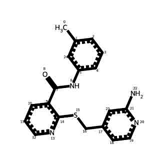 Cc1cccc(NC(=O)c2cccnc2SCc2ccnc(N)c2)c1